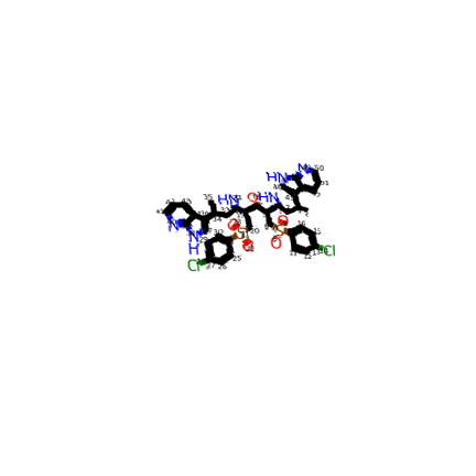 CC(CC(=N)C(CS(=O)(=O)c1ccc(Cl)cc1)C(=O)C(CS(=O)(=O)c1ccc(Cl)cc1)C(=N)CC(C)c1c[nH]c2ncccc12)c1c[nH]c2ncccc12